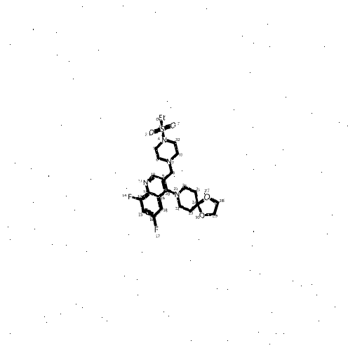 CCS(=O)(=O)N1CCN(Cc2cnc3c(F)cc(F)cc3c2N2CCC3(CC2)OCCO3)CC1